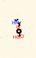 CC(C)N[C@@H](C)COc1ccc(C(=O)O)cc1